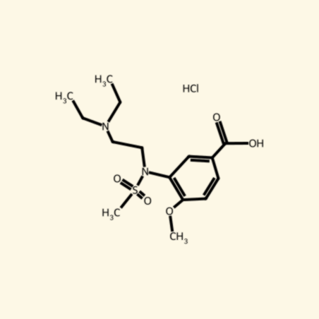 CCN(CC)CCN(c1cc(C(=O)O)ccc1OC)S(C)(=O)=O.Cl